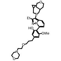 CCc1nn2c(-c3c(O)cc(CCCOCCN4CCOCC4)cc3OC)cccc2c1N(CC1CCOCC1)CC1CC1